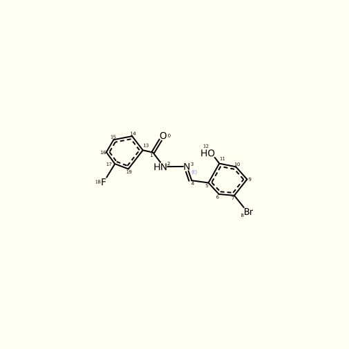 O=C(N/N=C/c1cc(Br)ccc1O)c1cccc(F)c1